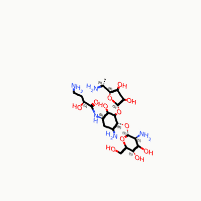 C[C@@H](N)[C@H]1O[C@@H](OC2C(O)[C@H](NC(=O)[C@@H](O)CCN)CC(N)[C@H]2O[C@H]2OC(CO)[C@@H](O)C(O)[C@@H]2N)C(O)C1O